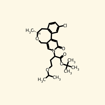 CC(C)OCCC(C(=O)OC(C)(C)C)n1cc2c(cc1=O)-c1cc(Cl)ccc1C[C@@H](C)OC2